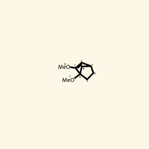 COC1=CC2CCC1(OC)C2